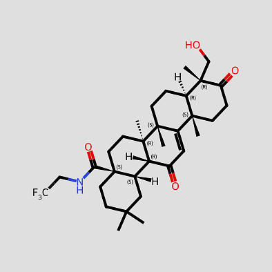 CC1(C)CC[C@]2(C(=O)NCC(F)(F)F)CC[C@]3(C)[C@H](C(=O)C=C4[C@@]5(C)CCC(=O)[C@@](C)(CO)[C@@H]5CC[C@]43C)[C@@H]2C1